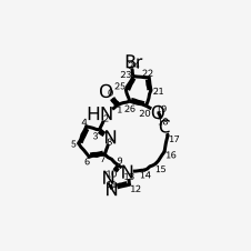 O=C1Nc2cccc(n2)-c2nncn2CCCCCOc2ccc(Br)cc21